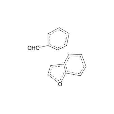 O=Cc1ccccc1.c1ccc2occc2c1